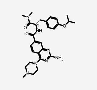 CC(C)Oc1ccc(C[C@H](NC(=O)c2ccc3c(N4CCN(C)CC4)nc(N)nc3c2)C(=O)N(C)C)cc1